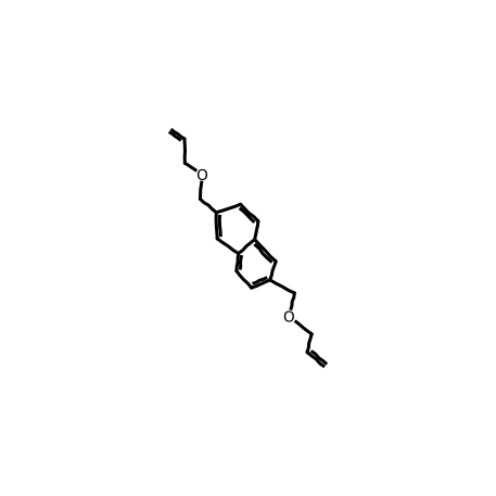 C=CCOCc1ccc2cc(COCC=C)ccc2c1